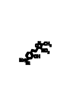 CCN(CC)c1ccc(C=Cc2onc(C)c2[N+](=O)[O-])c(O)c1